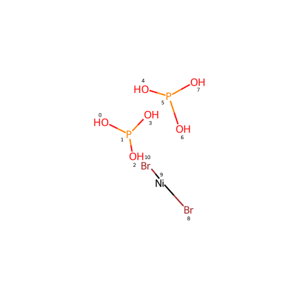 OP(O)O.OP(O)O.[Br][Ni][Br]